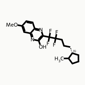 COc1ccc2nc(C(F)(F)C(F)(F)CCC[C@@H]3CCCC3C)c(O)nc2c1